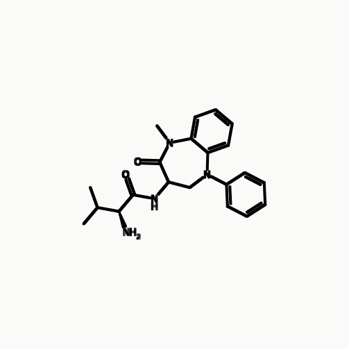 CC(C)[C@H](N)C(=O)NC1CN(c2ccccc2)c2ccccc2N(C)C1=O